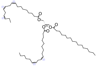 CC/C=C\C/C=C\C/C=C\CCCCCCCC(=O)OC[C@H](COC(=O)CCCCCCCCCCCCCCC)OC(=O)CCCCCCC/C=C\C/C=C\CCCCC